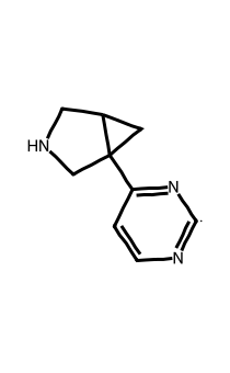 [c]1nccc(C23CNCC2C3)n1